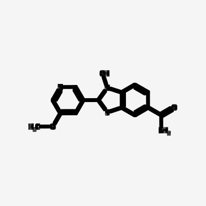 COc1cncc(C2Sc3cc(C(N)=O)ccc3N2O)c1